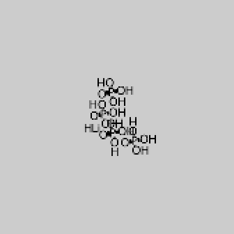 O=P(O)(O)O.O=P(O)(O)O.O=P(O)(O)O.O=P(O)(O)O.[LiH]